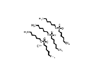 CCCCCCOP(=O)([O-])CCCCCC.CCCCCCOP(=O)([O-])CCCCCC.CCCCCCOP(=O)([O-])CCCCCC.[Cr+3]